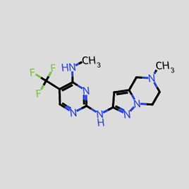 CNc1nc(Nc2cc3n(n2)CCN(C)C3)ncc1C(F)(F)F